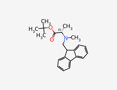 C[C@@H](C(=O)OC(C)(C)C)N(C)CC1c2ccccc2-c2ccccc21